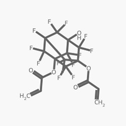 C=CC(=O)OC12C(F)(F)C3(O)C(F)(F)C(F)(C1(F)F)C(F)(F)C(OC(=O)C=C)(C3(F)F)C2(F)F